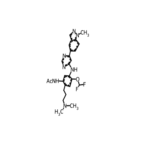 CC(=O)Nc1cc(Nc2cc(-c3ccc4c(cnn4C)c3)ncn2)c(OC(F)F)cc1CCCN(C)C